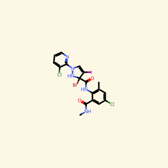 CNC(=O)c1cc(Cl)cc(C)c1NC(=O)C1(Br)NN(c2ncccc2Cl)C=C1I